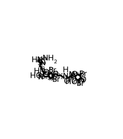 COC1=C(Br)[C@@H](O)[C@]2(C=C1Br)CC(C(=O)NCCCOc1c(Br)cc(C/C(=N/O)C(=O)NCCc3c[nH]c(N)n3)cc1Br)=NO2